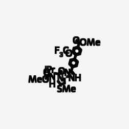 COC(=O)N[C@H](C(=O)N1C[C@@H](SC)C[C@H]1c1nc(-c2ccc(-c3ccc(C(=O)OC)cc3OC(F)(F)F)cc2)c[nH]1)C(C)C